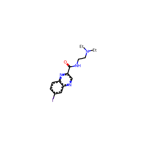 CCN(CC)CCNC(=O)c1cnc2cc(I)ccc2n1